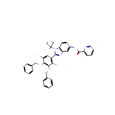 COc1cc(-c2nc3cc(NC(=O)c4ccccn4)ccc3n2C2(C)COC2)c(F)c(OCc2ccccc2)c1OCc1ccccc1